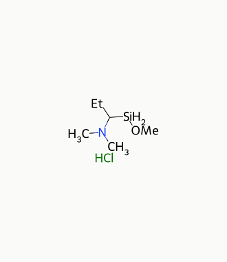 CCC([SiH2]OC)N(C)C.Cl